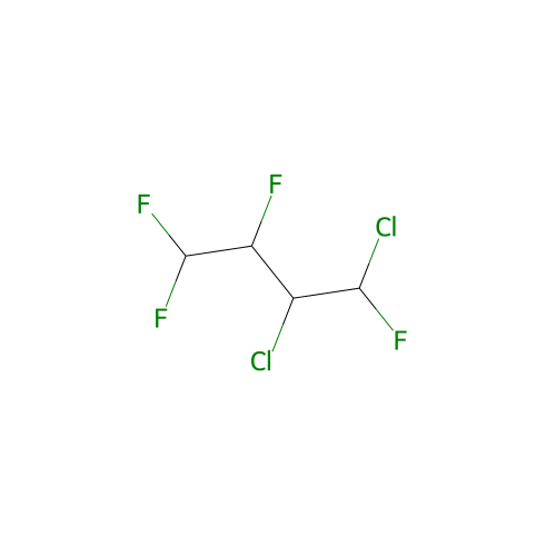 FC(F)C(F)C(Cl)C(F)Cl